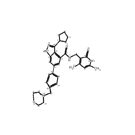 Cc1cc(C)c(CNC(=O)c2cc(-c3ccc(CN4CCOCC4)cc3)cc3[nH]nc(C4CCCC4)c23)c(=O)[nH]1